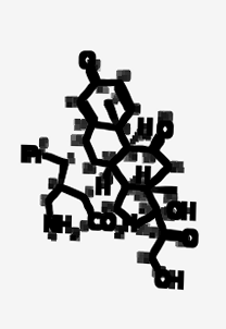 CC(C)C[C@H](CN)CC(=O)O.C[C@]12C=CC(=O)C=C1CC[C@@H]1[C@@H]2C(=O)C[C@@]2(C)[C@H]1CC[C@]2(O)C(=O)CO